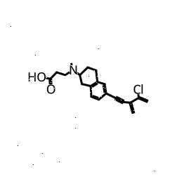 C=C(Cl)C(=C)C#Cc1ccc2c(c1)CCC(N(C)CCC(=O)O)C2